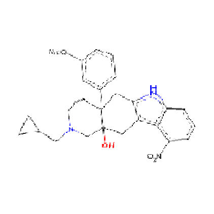 COc1cccc(C23CCN(CC4CC4)CC2(O)Cc2c([nH]c4cccc([N+](=O)[O-])c24)C3)c1